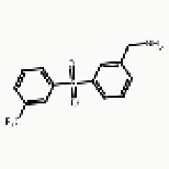 NCc1cccc(S(=O)(=O)c2cccc(C(F)(F)F)c2)c1